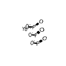 O=P[O-].O=P[O-].O=P[O-].[Yb+3]